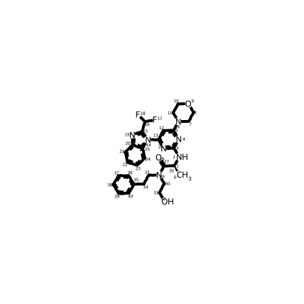 C[C@H](Nc1nc(N2CCOCC2)cc(-n2c(C(F)F)nc3ccccc32)n1)C(=O)N(CCO)CCc1ccccc1